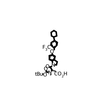 CN(C(=O)OC(C)(C)C)[C@H](CC(=O)O)C(=O)N1CCc2cc(OCc3ccc(C4CCCCC4)cc3C(F)(F)F)ccc21